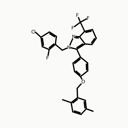 Cc1ccc(C)c(COc2ccc(-c3c4cccc(C(F)(F)F)c4nn3Cc3ccc(Cl)cc3F)cc2)c1